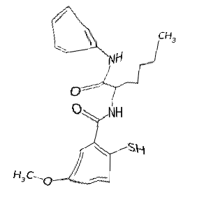 CCCCC(NC(=O)c1cc(OC)ccc1S)C(=O)Nc1ccccc1